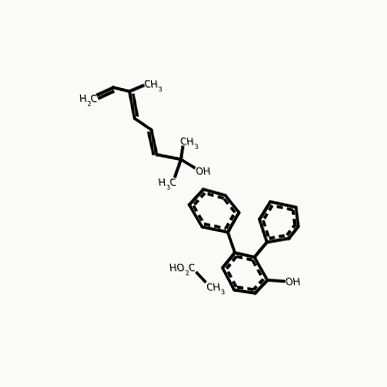 C=CC(C)=CC=CC(C)(C)O.CC(=O)O.Oc1cccc(-c2ccccc2)c1-c1ccccc1